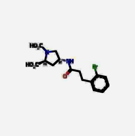 O=C(CCc1ccccc1Br)N[C@@H]1C[C@@H](C(=O)O)N(C(=O)O)C1